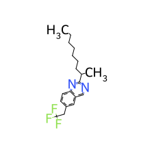 CCCCCCCC(C)c1ncc2cc(CC(F)(F)F)ccc2n1